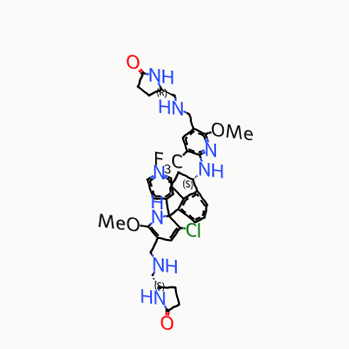 COC1=C(CNC[C@@H]2CCC(=O)N2)C=C(Cl)C(c2ccncc2)(c2cccc3c2CC[C@@H]3Nc2nc(OC)c(CNC[C@H]3CCC(=O)N3)cc2C(F)(F)F)N1